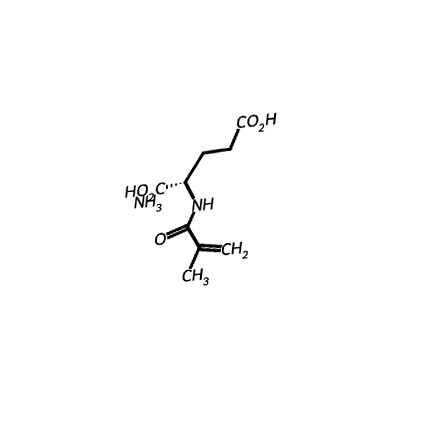 C=C(C)C(=O)N[C@@H](CCC(=O)O)C(=O)O.N